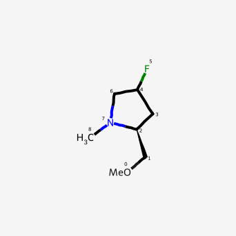 COC[C@@H]1CC(F)CN1C